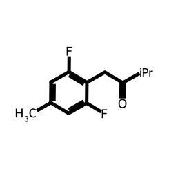 Cc1cc(F)c(CC(=O)C(C)C)c(F)c1